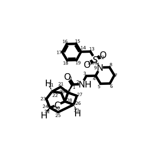 O=C(NCC1CCCCN1S(=O)(=O)Cc1ccccc1)[C@@]12C[C@@H]3C[C@H]4C[C@H](C1)C2(C3)C4